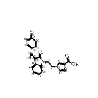 O=C(O)c1cn(CCN2C(=O)[C@@]3(C[C@@H]3c3ccc(Cl)cc3)c3ccccc32)cn1